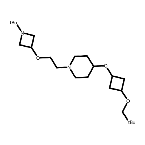 CC(C)(C)COC1CC(OC2CCN(CCOC3CN(C(C)(C)C)C3)CC2)C1